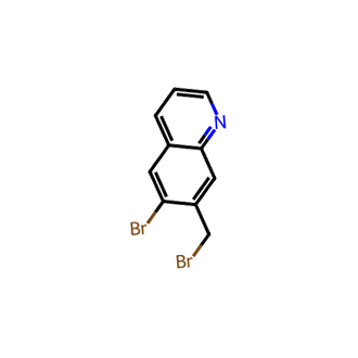 BrCc1cc2ncccc2cc1Br